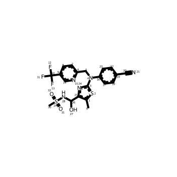 Cc1sc(N(Cc2ccc(C(F)(F)F)cn2)c2ccc(C#N)cc2)nc1C(O)NS(C)(=O)=O